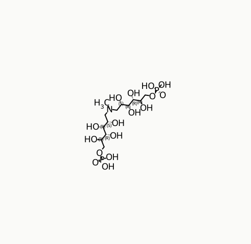 CN(C[C@H](O)[C@@H](O)[C@H](O)[C@H](O)COP(=O)(O)O)C[C@H](O)[C@@H](O)[C@H](O)[C@H](O)COP(=O)(O)O